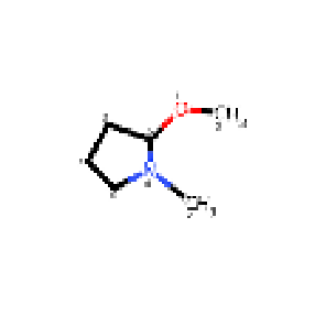 COC1CC[CH]N1C